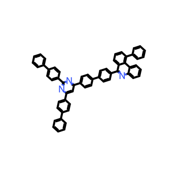 c1ccc(-c2ccc(-c3cc(-c4ccc(-c5ccc(-c6nc7ccccc7c7c(-c8ccccc8)cccc67)cc5)cc4)nc(-c4ccc(-c5ccccc5)cc4)n3)cc2)cc1